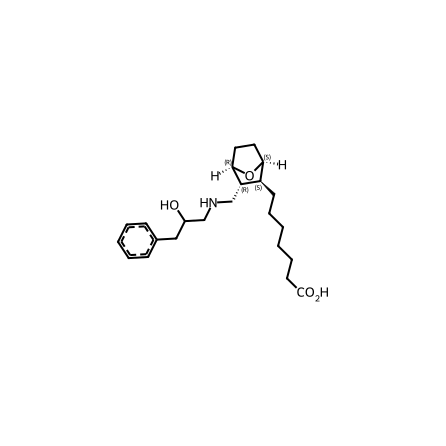 O=C(O)CCCCCC[C@H]1[C@H](CNCC(O)Cc2ccccc2)[C@H]2CC[C@@H]1O2